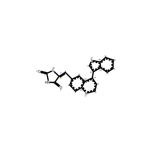 O=C1NC(=O)/C(=C\c2ccc3nccc(-c4csc5ccccc45)c3c2)S1